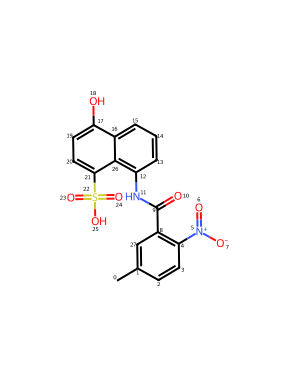 Cc1ccc([N+](=O)[O-])c(C(=O)Nc2cccc3c(O)ccc(S(=O)(=O)O)c23)c1